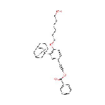 O=C(OC#Cc1ccc(OCCCCCCO)c(C23CC4CC(CC(C4)C2)C3)c1)c1ccccc1